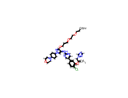 COCCOCCOCCCOc1nn(C2CCC(N3CCOCC3)CC2)cc1Nc1ncc(-c2ccc(Cl)c(OC(C)Cn3cncn3)c2)cn1